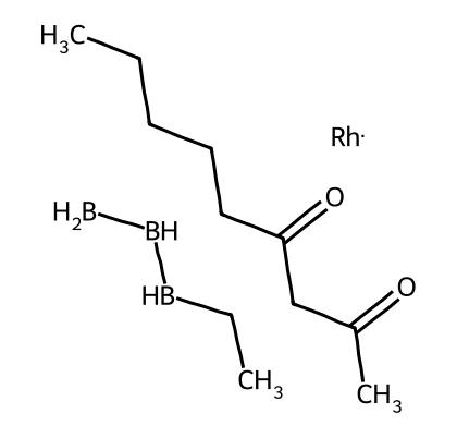 BBBCC.CCCCCC(=O)CC(C)=O.[Rh]